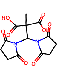 CC(C(=O)O)(C(=O)O)C(N1C(=O)CCC1=O)N1C(=O)CCC1=O